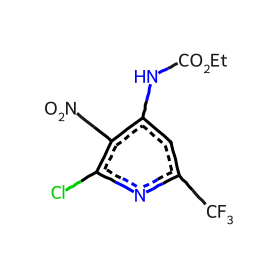 CCOC(=O)Nc1cc(C(F)(F)F)nc(Cl)c1[N+](=O)[O-]